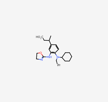 CC(C)CN(c1ccc(C(C)CC(=O)O)cc1NC1=NCCO1)C1CCCCC1